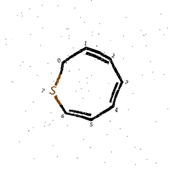 [CH]1\C=C/C=C\C=C/S1